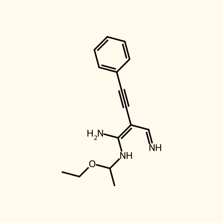 CCOC(C)N/C(N)=C(/C#Cc1ccccc1)C=N